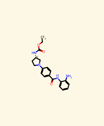 Nc1ccccc1NC(=O)c1ccc(N2CC[C@H](NC(=O)OCC(F)(F)F)C2)cc1